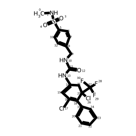 CNS(=O)(=O)c1ccc(CNC(=O)NC2=CC(Cl)=C(c3ccccc3)C(Cl)(C(F)(F)F)C2)cc1